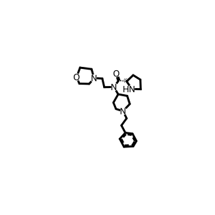 O=C([C@@H]1CCCN1)N(CCN1CCOCC1)C1CCN(CCc2ccccc2)CC1